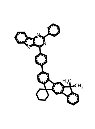 CC1(C)c2ccccc2-c2cc3c(cc21)-c1cc(-c2ccc(-c4nc(-c5ccccc5)nc5c4sc4ccccc45)cc2)ccc1C31CCCCC1